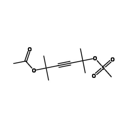 CC(=O)OC(C)(C)C#CC(C)(C)OS(C)(=O)=O